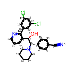 N#Cc1ccc([C@@H]([C@H](O)c2cccnc2-c2cc(Cl)cc(Cl)c2)N2CCCCC2)cc1